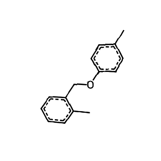 Cc1ccc(OCc2ccccc2C)cc1